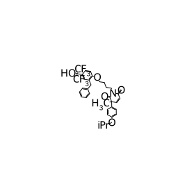 CC(C)Oc1ccc(C2(C)C=CC(=O)N(CCCCOc3ccc(C(O)(C(F)(F)F)C(F)(F)F)cc3Cc3ccccc3)C2=O)cc1